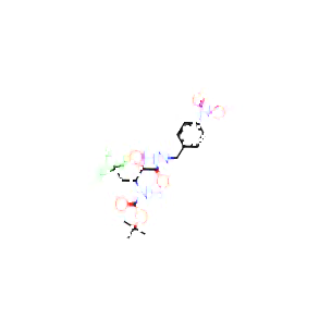 CC(C)(C)OC(=O)NC(CC(F)(F)F)C(=O)C(=O)NCc1ccc([N+](=O)[O-])cc1